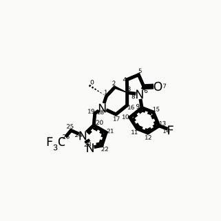 C[C@@H]1C[C@]2(CCC(=O)N2c2cccc(F)c2)CCN1Cc1ccnn1CC(F)(F)F